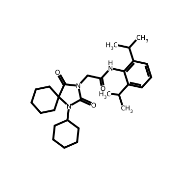 CC(C)c1cccc(C(C)C)c1NC(=O)CN1C(=O)N(C2CCCCC2)C2(CCCCC2)C1=O